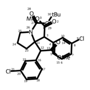 COC(=O)C(c1cccc(Cl)c1)C1(C(C(=O)OC)c2cccc(Cl)c2)CCCN1C(=O)OC(C)(C)C